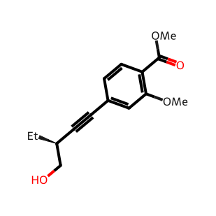 CC[C@@H](C#Cc1ccc(C(=O)OC)c(OC)c1)CO